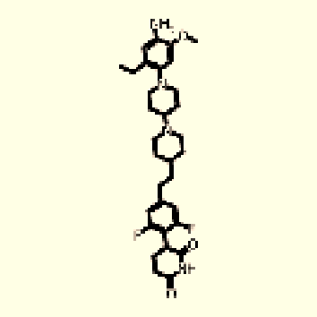 CCc1cc(N)c(OC)cc1N1CCC(N2CCC(CCc3cc(F)c(C4CCC(=O)NC4=O)c(F)c3)CC2)CC1